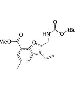 C=Cc1c(CNC(=O)OC(C)(C)C)oc2c(C(=O)OC)cc(C)cc12